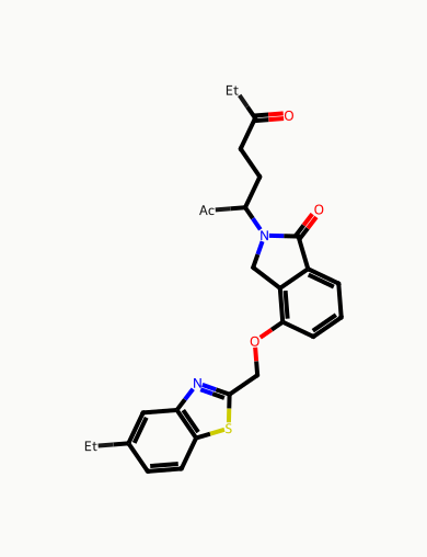 CCC(=O)CCC(C(C)=O)N1Cc2c(OCc3nc4cc(CC)ccc4s3)cccc2C1=O